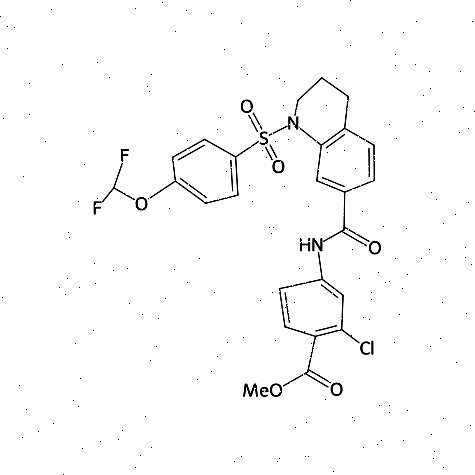 COC(=O)c1ccc(NC(=O)c2ccc3c(c2)N(S(=O)(=O)c2ccc(OC(F)F)cc2)CCC3)cc1Cl